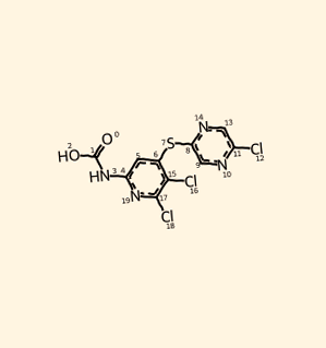 O=C(O)Nc1cc(Sc2cnc(Cl)cn2)c(Cl)c(Cl)n1